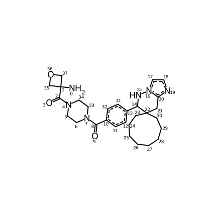 NC1(C(=O)N2CCN(C(=O)c3ccc(C4Nn5ccnc5CC45CCCCCCCC5)cc3)CC2)COC1